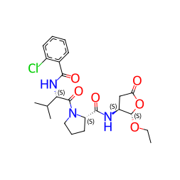 CCO[C@H]1OC(=O)C[C@@H]1NC(=O)[C@@H]1CCCN1C(=O)[C@@H](NC(=O)c1ccccc1Cl)C(C)C